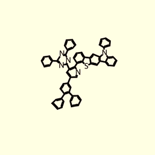 c1ccc(-c2nc(-c3ccccc3)nc(-c3cc(-c4ccc(-c5ccccc5)c(-c5ccccc5)c4)cnc3-c3cccc4c3sc3cc5c6ccccc6n(-c6ccccc6)c5cc34)n2)cc1